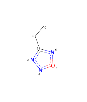 CCc1nnon1